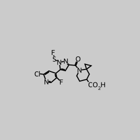 O=C(O)C1CCN(C(=O)c2cc(-c3cc(Cl)ncc3F)n(SF)n2)C2(CC2)C1